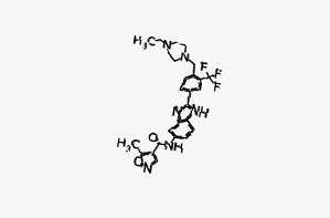 CCN1CCN(Cc2ccc(-c3nc4cc(NC(=O)c5cnoc5C)ccc4[nH]3)cc2C(F)(F)F)CC1